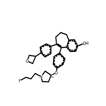 Oc1ccc2c(c1)CCCC(c1ccc(C3COC3)cc1)=C2c1ccc(O[C@H]2CCN(CCCF)C2)cc1